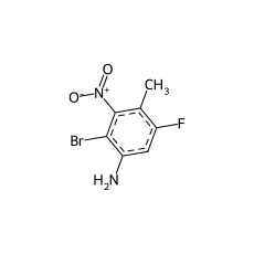 Cc1c(F)cc(N)c(Br)c1[N+](=O)[O-]